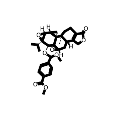 COC(=O)c1ccc(C(OC)O[C@@H]2[C@@]3(C(C)C)O[C@H]3[C@@H]3C[C@]34[C@]23O[C@H]3C[C@H]2C3=C(CC[C@@]24C)C(=O)OC3)cc1